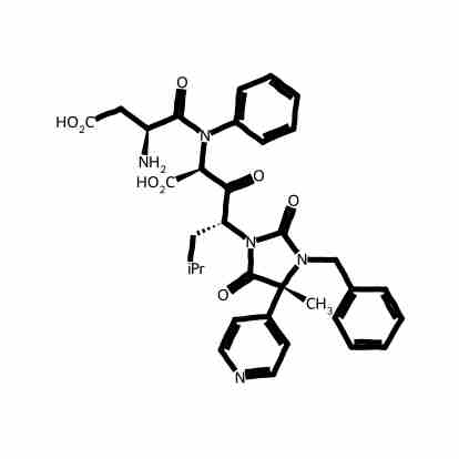 CC(C)C[C@H](C(=O)[C@@H](C(=O)O)N(C(=O)[C@@H](N)CC(=O)O)c1ccccc1)N1C(=O)N(Cc2ccccc2)[C@](C)(c2ccncc2)C1=O